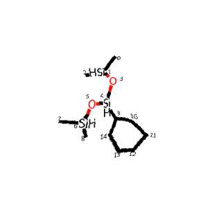 C[SiH](C)O[SiH](O[SiH](C)C)C1CCCCC1